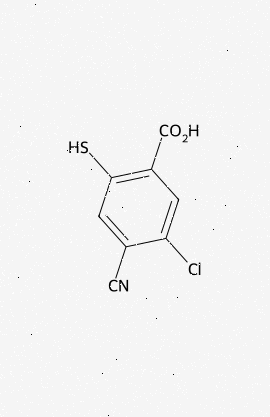 N#Cc1cc(S)c(C(=O)O)cc1Cl